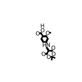 COc1cc(NC=C2C(=O)OC(C)(C)OC2=O)ccc1C(=O)O